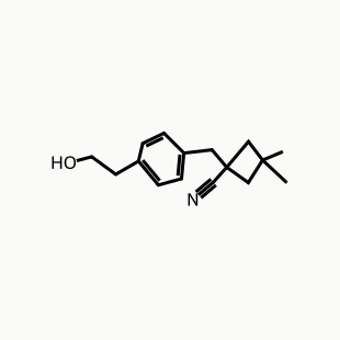 CC1(C)CC(C#N)(Cc2ccc(CCO)cc2)C1